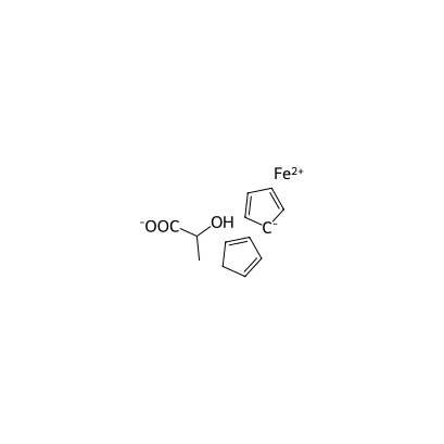 C1=CCC=C1.CC(O)C(=O)[O-].[Fe+2].c1cc[cH-]c1